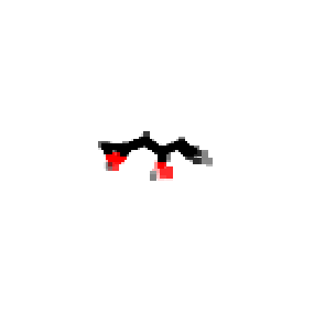 C=CC(O)CC1CO1